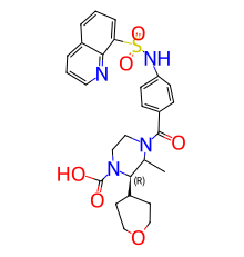 CC1[C@@H](C2CCOCC2)N(C(=O)O)CCN1C(=O)c1ccc(NS(=O)(=O)c2cccc3cccnc23)cc1